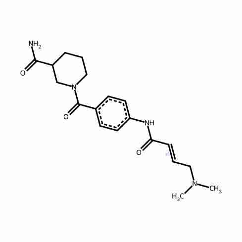 CN(C)C/C=C/C(=O)Nc1ccc(C(=O)N2CCCC(C(N)=O)C2)cc1